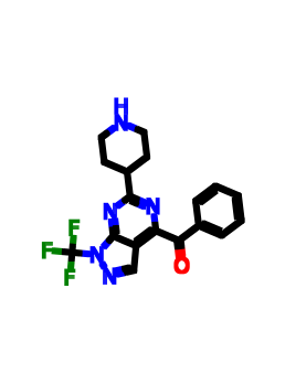 O=C(c1ccccc1)c1nc(C2CCNCC2)nc2c1cnn2C(F)(F)F